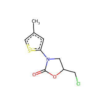 Cc1csc(N2CC(CCl)OC2=O)c1